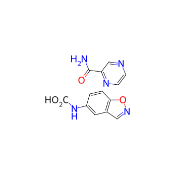 NC(=O)c1cnccn1.O=C(O)Nc1ccc2oncc2c1